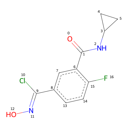 O=C(NC1CC1)c1cc(/C(Cl)=N/O)ccc1F